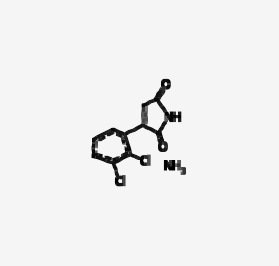 N.O=C1C=C(c2cccc(Cl)c2Cl)C(=O)N1